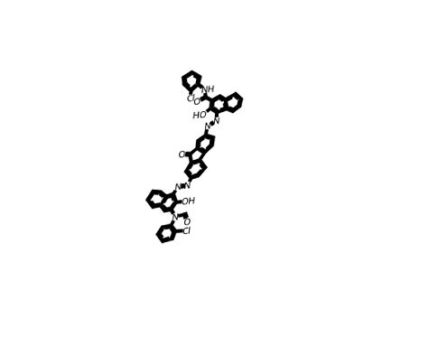 O=CN(c1ccccc1Cl)c1cc2ccccc2c(N=Nc2ccc3c(c2)C(=O)c2cc(N=Nc4c(O)c(C(=O)Nc5ccccc5Cl)cc5ccccc45)ccc2-3)c1O